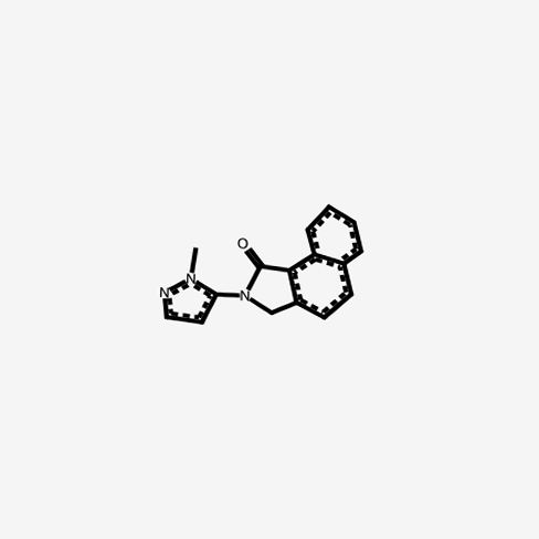 Cn1nccc1N1Cc2ccc3ccccc3c2C1=O